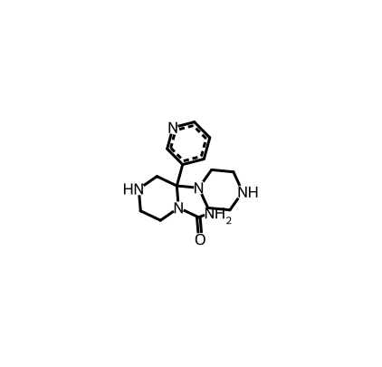 NC(=O)N1CCNCC1(c1cccnc1)N1CCNCC1